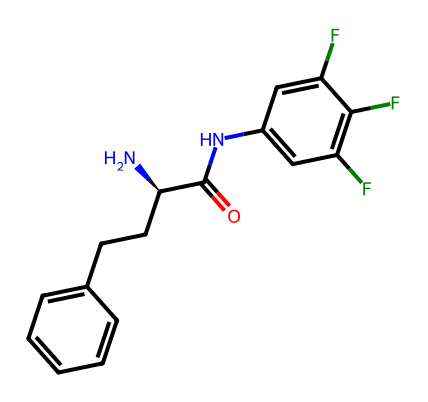 N[C@H](CCc1ccccc1)C(=O)Nc1cc(F)c(F)c(F)c1